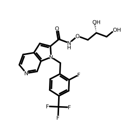 O=C(NOC[C@H](O)CO)c1cc2ccncc2n1Cc1ccc(C(F)(F)F)cc1F